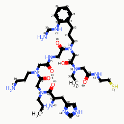 CCCN(CC(=O)N(CCCN)CC(=O)NCC(=O)N(CCCc1ccccc1NCN)CC(=O)N(CC)CC(=O)NCCS)C(=O)C(N)Cc1c[nH]cn1